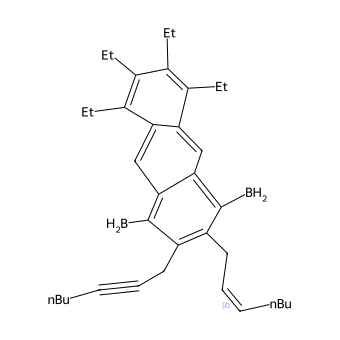 Bc1c(CC#CCCCC)c(C/C=C\CCCC)c(B)c2cc3c(CC)c(CC)c(CC)c(CC)c3cc12